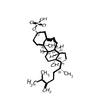 C=C(CC[C@@H](C)[C@H]1CC[C@H]2[C@@H]3CC=C4C[C@@H](OS(=O)(=O)O)CC[C@]4(C)[C@H]3CC[C@]12C)C(C)C